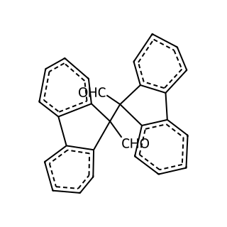 O=CC1(C2(C=O)c3ccccc3-c3ccccc32)c2ccccc2-c2ccccc21